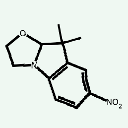 CC1(C)c2cc([N+](=O)[O-])ccc2N2CCOC21